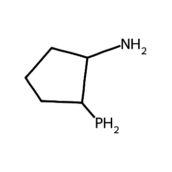 NC1CCCC1P